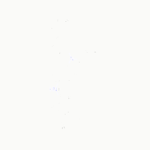 C1=CCCC(N(c2ccc(Nc3ccc4c(c3)C=CCC4)cc2)c2ccc3ccccc3c2)=C1